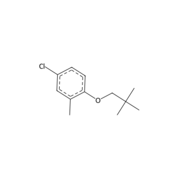 Cc1cc(Cl)ccc1OCC(C)(C)C